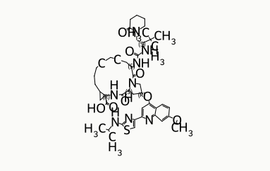 COc1ccc2c(O[C@@H]3C[C@H]4C(=O)N[C@]5(C(=O)O)CC5CCCCCCC[C@H](NC(=O)N[C@H](CN5CCCCC5=O)C(C)(C)C)C(=O)N4C3)cc(-c3csc(NC(C)C)n3)nc2c1